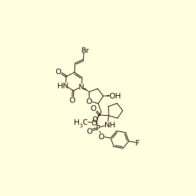 COC(=O)C1(NP(=O)(OCC2O[C@@H](n3cc(/C=C/Br)c(=O)[nH]c3=O)C[C@H]2O)Oc2ccc(F)cc2)CCCC1